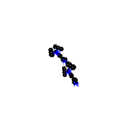 c1ccc2c(-c3cc(-c4c5ccccc5cc5ccccc45)nc(-c4ccc(-c5ccc6nc(-c7ccc8c(-c9cc(-c%10c%11ccccc%11cc%11ccccc%10%11)nc(-c%10ccc(-c%11ccc%12cnccc%12c%11)cc%10)n9)c9ccccc9cc8c7)ccc6c5)cc4)n3)c3ccccc3cc2c1